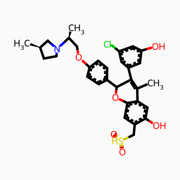 CC1=C(c2cc(O)cc(Cl)c2)C(c2ccc(OC[C@H](C)N3CC[C@@H](C)C3)cc2)Oc2cc(C[SH](=O)=O)c(O)cc21